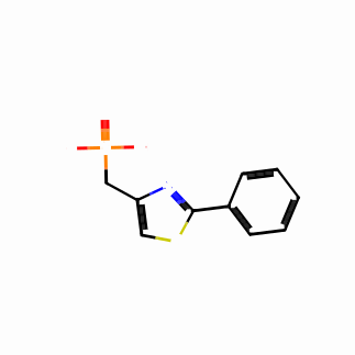 O=P(O)(O)Cc1csc(-c2ccccc2)n1